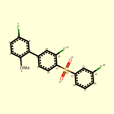 COc1ccc(F)cc1-c1ccc(S(=O)(=O)c2cccc(F)c2)c(F)c1